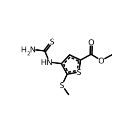 COC(=O)c1cc(NC(N)=S)c(SC)s1